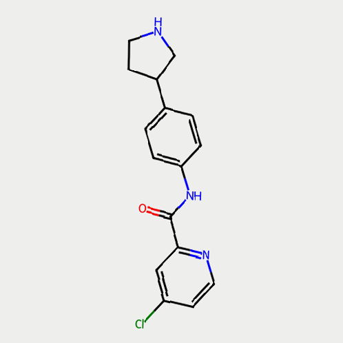 O=C(Nc1ccc(C2CCNC2)cc1)c1cc(Cl)ccn1